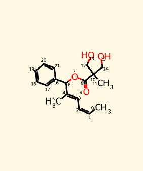 C/C=C\C=C(/C)C(OC(=O)C(C)(CO)CO)c1ccccc1